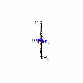 CCCCCCCCCCCCCCCC(=O)NC(CN)(CCC)NC(=O)CCCCCCCCCCCCCCC